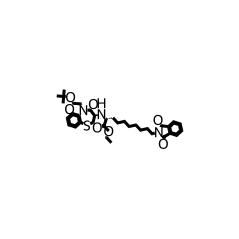 CCOC(=O)[C@@H](CCCCCCCCN1C(=O)c2ccccc2C1=O)N[C@H]1CSc2ccccc2N(CC(=O)OC(C)(C)C)C1=O